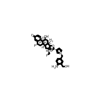 C[C@]12C=CC(=O)C=C1[C@@H](F)C[C@H]1[C@@H]3C[C@H]4O[C@@H](c5ccn(Cc6ccc(N)c(CO)c6)c5)O[C@@]4(C(=O)SCF)[C@@]3(C)C[C@H](O)[C@@]12F